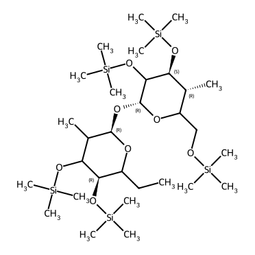 CCC1O[C@H](O[C@H]2OC(CO[Si](C)(C)C)[C@@H](C)[C@H](O[Si](C)(C)C)C2O[Si](C)(C)C)C(C)C(O[Si](C)(C)C)[C@@H]1O[Si](C)(C)C